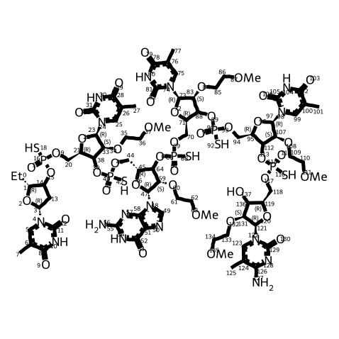 CC[C@H]1O[C@@H](n2cc(C)c(=O)[nH]c2=O)CC1OP(=O)(S)OC[C@H]1O[C@@H](n2cc(C)c(=O)[nH]c2=O)[C@@H](OCCOC)C1OP(=O)(S)OC[C@H]1O[C@@H](n2cnc3c(=O)[nH]c(N)nc32)[C@@H](OCCOC)C1OP(=O)(S)OC[C@H]1O[C@@H](n2cc(C)c(=O)[nH]c2=O)[C@@H](OCCOC)C1OP(=O)(S)OC[C@H]1O[C@@H](n2cc(C)c(=O)[nH]c2=O)[C@@H](OCCOC)C1OP(=O)(S)OC[C@H]1O[C@@H](n2cc(C)c(N)nc2=O)[C@@H](OCCOC)C1O